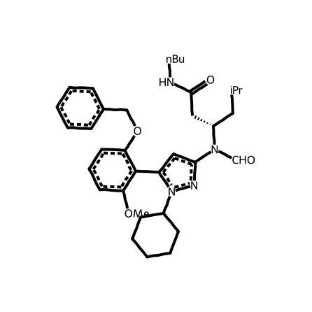 CCCCNC(=O)C[C@H](CC(C)C)N(C=O)c1cc(-c2c(OC)cccc2OCc2ccccc2)n(C2CCCCC2)n1